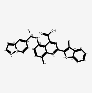 Cc1c(-c2cc(C(=O)O)c3c(O[C@@H](C)c4ccn5nccc5c4)ccc(C)c3n2)oc2ccccc12